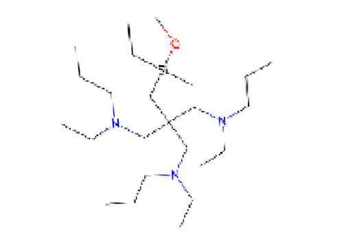 CCCN(CC)CC(CN(CC)CCC)(CN(CC)CCC)C[Si](C)(CC)OC